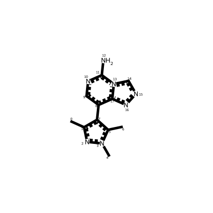 Cc1nn(C)c(C)c1-c1cnc(N)n2cnnc12